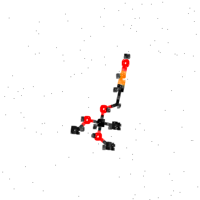 CCO[Si](CC)(OCC)OCC#P=O